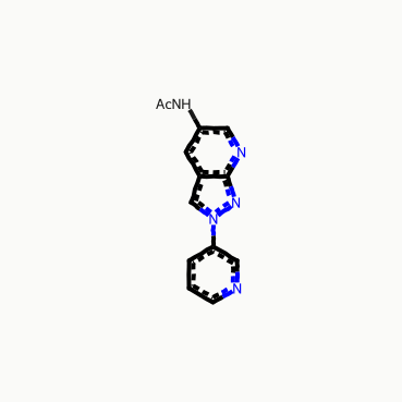 CC(=O)Nc1cnc2nn(-c3cccnc3)cc2c1